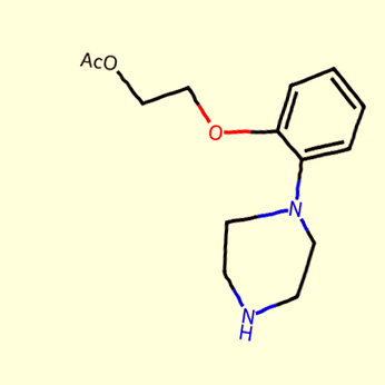 CC(=O)OCCOc1ccccc1N1CCNCC1